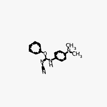 CN(C)c1ccc(N/C(=N\C#N)Oc2ccccc2)cc1